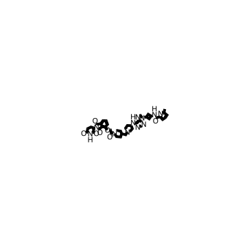 Cc1cccc(C(=O)NC2CC(n3cnc4c(NC5CCN(CC6CCN(C(=O)COc7cccc8c7C(=O)N([C@H]7CCC(=O)NC7=O)C8=O)CC6)CC5)ncnc43)C2)n1